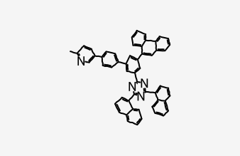 Cc1ccc(-c2ccc(-c3cc(-c4nc(-c5cccc6ccccc56)nc(-c5cccc6ccccc56)n4)cc(-c4cc5ccccc5c5ccccc45)c3)cc2)cn1